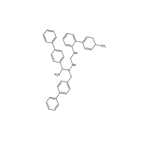 CC1C=CC(c2ccccc2NCNN(Cc2ccc(-c3ccccc3)cc2)C(N)c2ccc(-c3ccccc3)cc2)=CC1